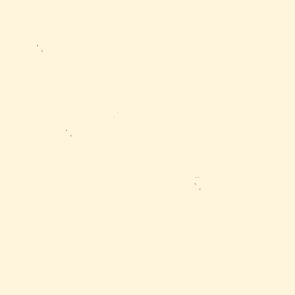 O=C(CCCc1cc2ccccc2[nH]1)Nc1ccncc1